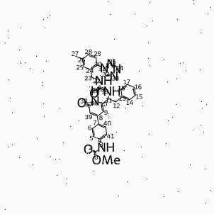 COC(=O)Nc1ccc(-c2cc([C@H](Cc3ccccc3)NC(=O)NCc3cc(C)ccc3-n3cnnn3)[nH]c(=O)c2)cc1